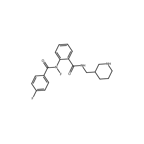 O=C(NCC1CCCNC1)c1ccccc1N(F)C(=O)c1ccc(F)cc1